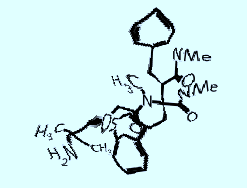 CNC(=O)[C@H](Cc1ccccc1)[C@](Cc1csc2ccccc12)(C(=O)NC)N(C)C(=O)COCC(C)(C)N